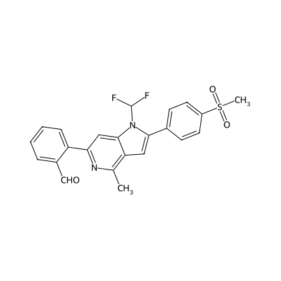 Cc1nc(-c2ccccc2C=O)cc2c1cc(-c1ccc(S(C)(=O)=O)cc1)n2C(F)F